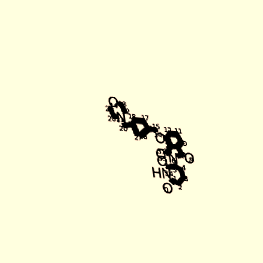 O=C1CCCC(N2C(=O)c3cccc(OCc4ccc(CN5CCOCC5)cc4)c3C2=O)C(=O)N1